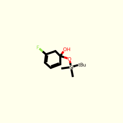 CC(C)(C)[Si](C)(C)OC1(O)C=CC=C(F)C1